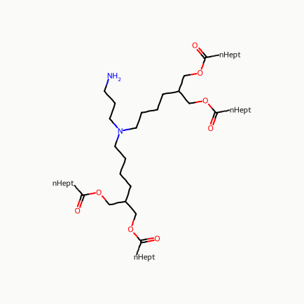 CCCCCCCC(=O)OCC(CCCCN(CCCN)CCCCC(COC(=O)CCCCCCC)COC(=O)CCCCCCC)COC(=O)CCCCCCC